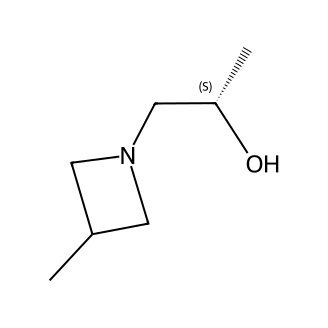 CC1CN(C[C@H](C)O)C1